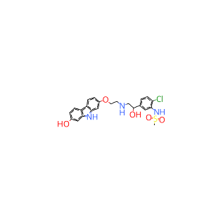 CS(=O)(=O)Nc1cc(C(O)CNCCOc2ccc3c(c2)[nH]c2cc(O)ccc23)ccc1Cl